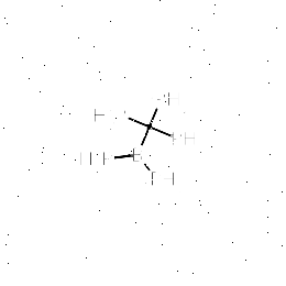 PB(P)C(P)(P)P